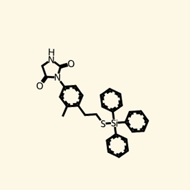 Cc1cc(N2C(=O)CNC2=O)ccc1CCS[Si](c1ccccc1)(c1ccccc1)c1ccccc1